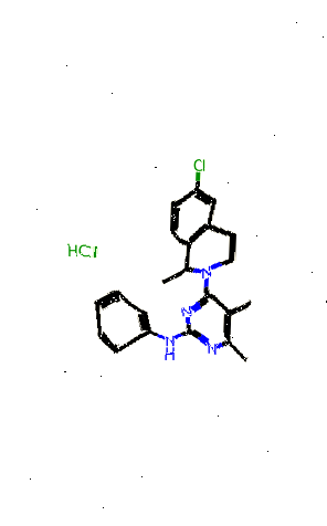 Cc1nc(Nc2ccccc2)nc(N2CCc3cc(Cl)ccc3C2C)c1C.Cl